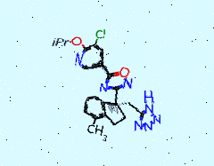 Cc1cccc2c1CC[C@]2(Cc1nnn[nH]1)c1noc(-c2cnc(OC(C)C)c(Cl)c2)n1